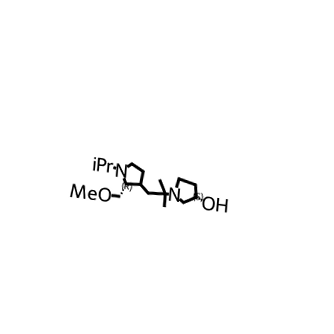 COC[C@H]1C(CC(C)(C)N2CC[C@H](O)C2)CCN1C(C)C